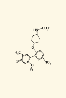 CCOc1cc(=O)n(C)cc1-c1cc([N+](=O)[O-])ccc1O[C@H]1CC[C@H](NC(=O)O)CC1